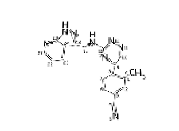 Cc1cc(C#N)ccc1-c1cnnc(NCc2n[nH]c3ncccc23)n1